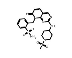 CS(=O)(=O)N1CCC(Nc2ncc3ccc(=O)n(Cc4ccccc4S(N)(=O)=O)c3n2)CC1